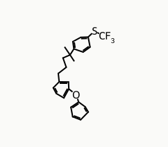 CC(C)(CCCc1cccc(Oc2ccccc2)c1)c1ccc(SC(F)(F)F)cc1